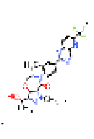 Cc1cc(-c2ncc3nc(C(F)(F)F)ccc3n2)ccc1N1CCOc2c(C(C)O)nn(C)c2C1=O